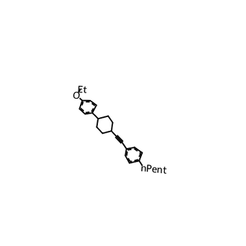 CCCCCc1ccc(C#CC2CCC(c3ccc(OCC)cc3)CC2)cc1